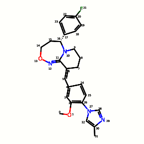 COc1cc(/C=C2\CCCN3C2=NOCC[C@@H]3c2ccc(F)cc2)ccc1-n1cnc(C)c1